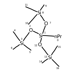 C[CH]C[Si](O[Si](C)(C)C)(O[Si](C)(C)C)O[Si](C)(C)C